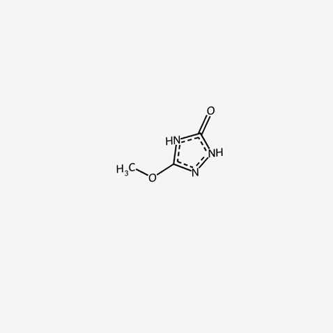 COc1n[nH]c(=O)[nH]1